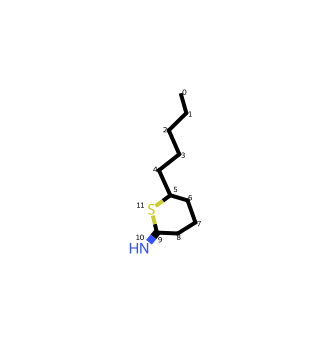 CCCCCC1CCCC(=N)S1